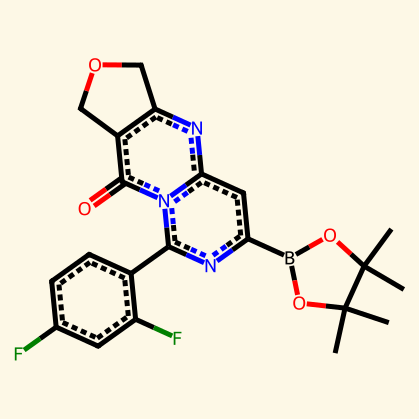 CC1(C)OB(c2cc3nc4c(c(=O)n3c(-c3ccc(F)cc3F)n2)COC4)OC1(C)C